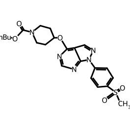 CCCCOC(=O)N1CCC(Oc2ncnc3c2cnn3-c2ccc(S(C)(=O)=O)cc2)CC1